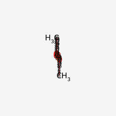 CCCCCCCCCCCCCCCCCCOP1CCC2(CC1)COP(OCCCCCCCCCCCCCCCCCC)OC2